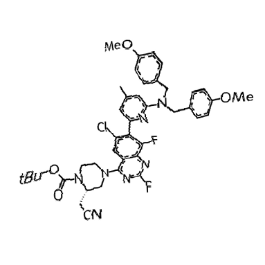 COc1ccc(CN(Cc2ccc(OC)cc2)c2cc(C)cc(-c3c(Cl)cc4c(N5CCN(C(=O)OC(C)(C)C)[C@@H](CC#N)C5)nc(F)nc4c3F)n2)cc1